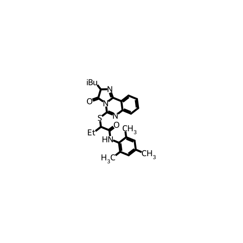 CCC(SC1=Nc2ccccc2C2=NC(C(C)CC)C(=O)N12)C(=O)Nc1c(C)cc(C)cc1C